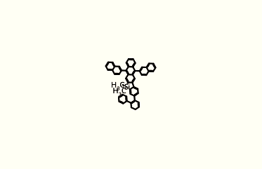 C[Si]1(C)c2cc(C3=C(c4ccccc4)CCC=C3)ccc2-c2cc3c(-c4ccc5ccccc5c4)c4ccccc4c(-c4ccc5ccccc5c4)c3cc21